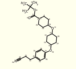 CC(C)(C)OC(=O)N1CCC(OC2CCC(Oc3ccc(CCC#N)cc3)CC2)CC1